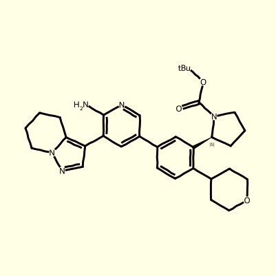 CC(C)(C)OC(=O)N1CCC[C@H]1c1cc(-c2cnc(N)c(-c3cnn4c3CCCC4)c2)ccc1C1CCOCC1